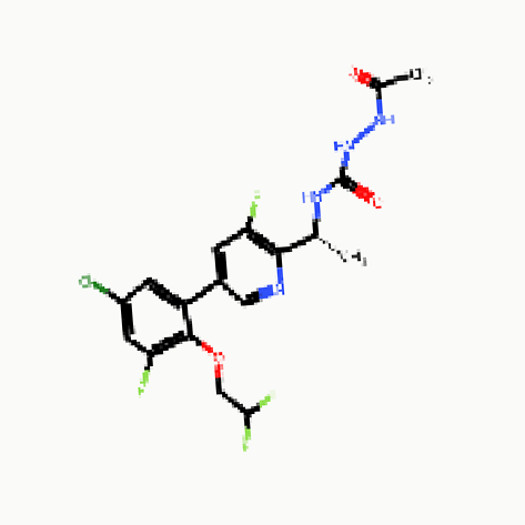 C[C@@H](NC(=O)NNC(=O)C(F)(F)F)c1ncc(-c2cc(Cl)cc(F)c2OCC(F)F)cc1F